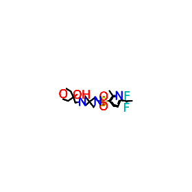 Cc1nc(C(C)(F)F)ccc1S(=O)(=O)N1CC2(CN(CC3(O)CCOCC3)C2)C1